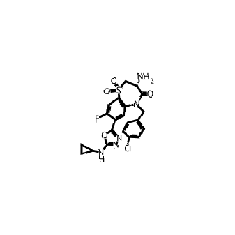 N[C@H]1CS(=O)(=O)c2cc(F)c(-c3nnc(NC4CC4)o3)cc2N(Cc2ccc(Cl)cc2)C1=O